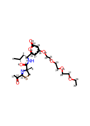 CCC[C@@H](NC(=O)[C@]1(C)CSC(C(C)=O)=N1)c1cc(OCCOCCOCCOCC)cc(=O)o1